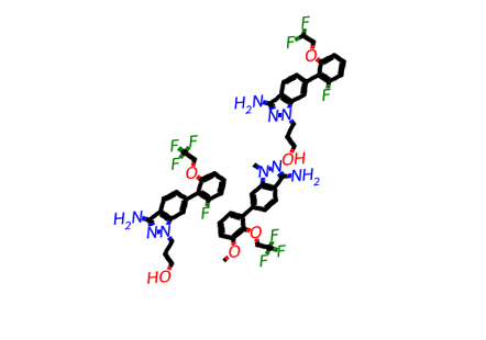 COc1cccc(-c2ccc3c(N)nn(C)c3c2)c1OCC(F)(F)F.Nc1nn(CCCO)c2cc(-c3c(F)cccc3OCC(F)(F)F)ccc12.Nc1nn(CCCO)c2cc(-c3c(F)cccc3OCC(F)F)ccc12